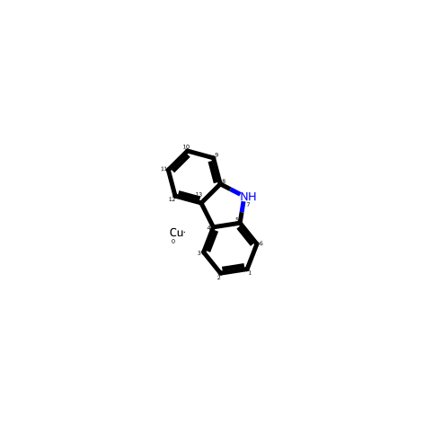 [Cu].c1ccc2c(c1)[nH]c1ccccc12